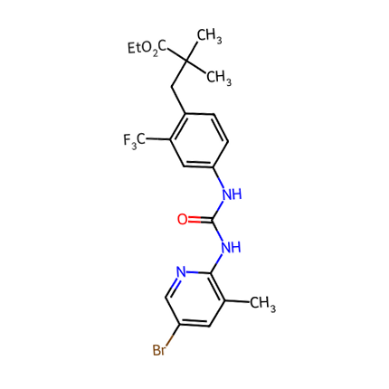 CCOC(=O)C(C)(C)Cc1ccc(NC(=O)Nc2ncc(Br)cc2C)cc1C(F)(F)F